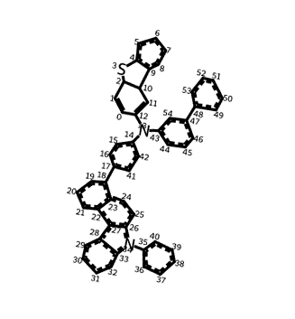 C1=CC2Sc3ccccc3C2C=C1N(c1ccc(-c2cccc3c2ccc2c3c3ccccc3n2-c2ccccc2)cc1)c1cccc(-c2ccccc2)c1